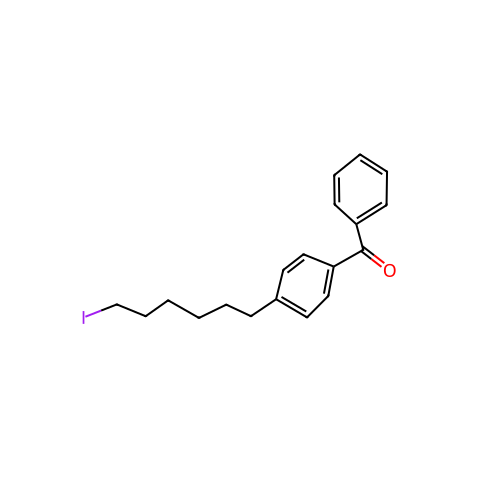 O=C(c1ccccc1)c1ccc(CCCCCCI)cc1